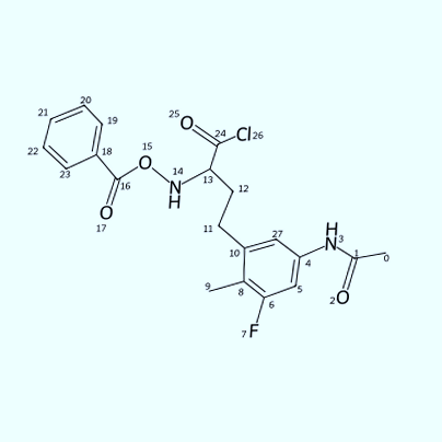 CC(=O)Nc1cc(F)c(C)c(CCC(NOC(=O)c2ccccc2)C(=O)Cl)c1